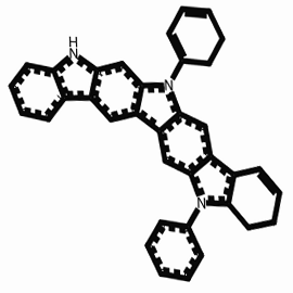 C1=CCCC(n2c3cc4[nH]c5ccccc5c4cc3c3cc4c(cc32)c2c(n4-c3ccccc3)CCC=C2)=C1